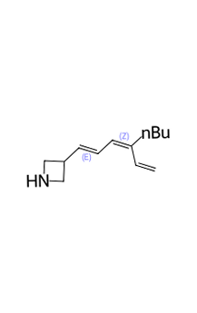 C=C/C(=C\C=C\C1CNC1)CCCC